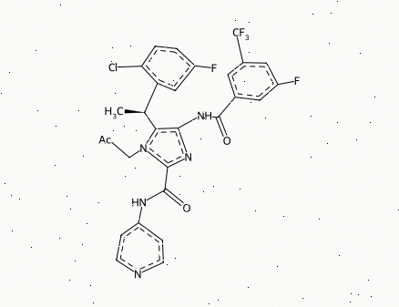 CC(=O)Cn1c(C(=O)Nc2ccncc2)nc(NC(=O)c2cc(F)cc(C(F)(F)F)c2)c1[C@@H](C)c1cc(F)ccc1Cl